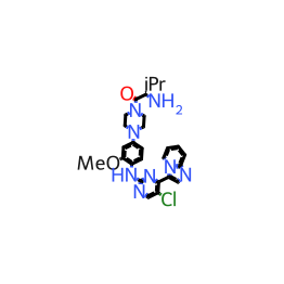 COc1cc(N2CCN(C(=O)[C@@H](N)C(C)C)CC2)ccc1Nc1ncc(Cl)c(-c2cnc3ccccn23)n1